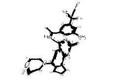 Cc1nc(NC(C)c2cc(N)cc(C(F)(F)F)c2)c2cc(N3CCOCC3)c3c(c2n1)CCC3